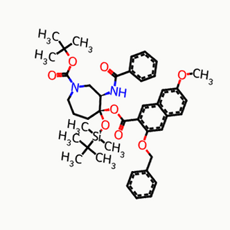 COc1ccc2cc(OCc3ccccc3)c(C(=O)O[C@@]3(O[Si](C)(C)C(C)(C)C)CCCN(C(=O)OC(C)(C)C)C[C@H]3NC(=O)c3ccccc3)cc2c1